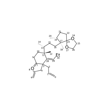 C=CCC1(CC=C)C(=O)CC[C@](C)([C@H](C)CC[C@@]2(C)[C@H](C)CCC23OCCO3)/C1=C\CC